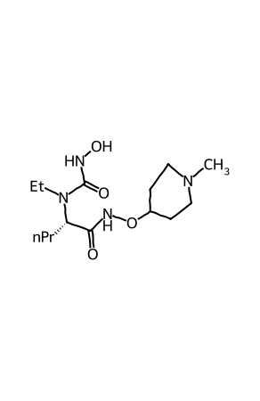 CCC[C@@H](C(=O)NOC1CCN(C)CC1)N(CC)C(=O)NO